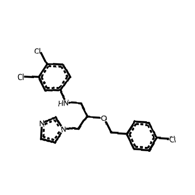 Clc1ccc(COC(CNc2ccc(Cl)c(Cl)c2)Cn2ccnc2)cc1